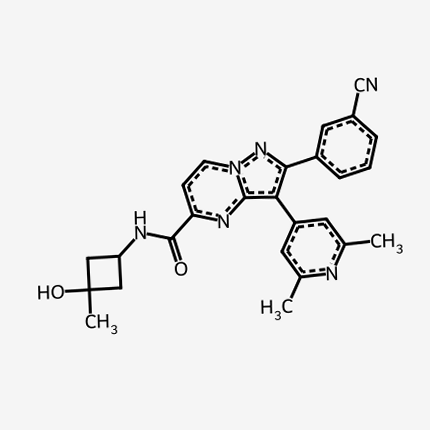 Cc1cc(-c2c(-c3cccc(C#N)c3)nn3ccc(C(=O)NC4CC(C)(O)C4)nc23)cc(C)n1